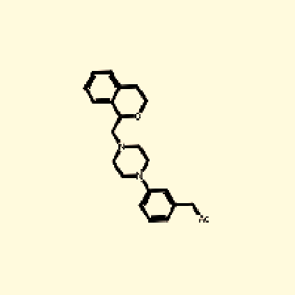 CC(=O)Cc1cccc(N2CCN(CC3OCCc4ccccc43)CC2)c1